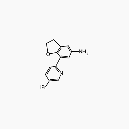 CC(C)c1ccc(-c2cc(N)cc3c2OCC3)nc1